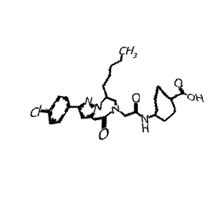 CCCCCC1CN(CC(=O)NC2CCC(C(=O)O)CC2)C(=O)c2cc(-c3ccc(Cl)cc3)nn21